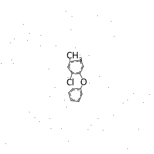 Cc1ccc(Oc2ccccc2)c(Cl)c1